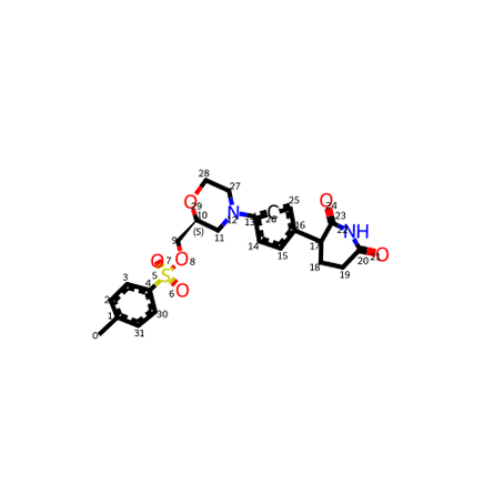 Cc1ccc(S(=O)(=O)OC[C@@H]2CN(c3ccc(C4CCC(=O)NC4=O)cc3)CCO2)cc1